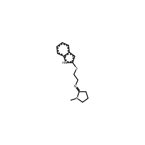 CN1CCC/C1=N\CCSc1cc2ccccc2[nH]1